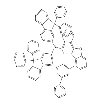 c1ccc(-c2cccc(-c3cccc4oc5c6ccccc6c(N(c6ccc7c(c6)C(c6ccccc6)(c6ccccc6)c6ccccc6-7)c6ccc7c(c6)C(c6ccccc6)(c6ccccc6)c6ccccc6-7)cc5c34)c2)cc1